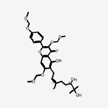 COCOc1ccc(-c2oc3cc(OCOC)c(C/C=C(/C)CC[C@@H](O)C(C)(C)O)c(O)c3c(=O)c2OCOC)cc1